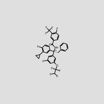 O=C(N[C@@](Cc1ccccc1)(c1cc(F)cc(OC(F)(F)C(F)F)c1)c1ccc(F)c(C2CC2)c1)c1ccc(F)c(C(F)(F)F)c1